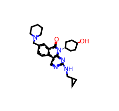 O=c1c2cc(CN3CCCCC3)ccc2c2cnc(NCC3CC3)nc2n1[C@H]1CC[C@H](O)CC1